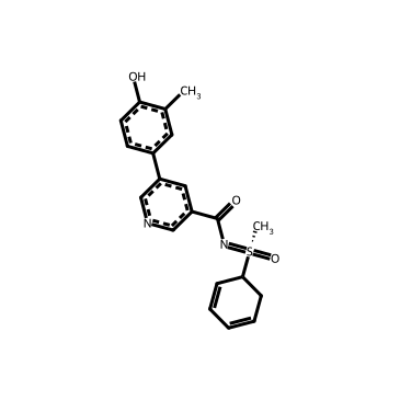 Cc1cc(-c2cncc(C(=O)N=[S@@](C)(=O)C3C=CC=CC3)c2)ccc1O